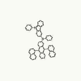 c1ccc(N(c2ccc3c(-c4cccc5ccccc45)c4ccccc4c(-c4cccc5ccccc45)c3c2)c2ccc3c(c2)c2ccccc2n3-c2ccccc2)cc1